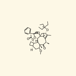 CC[Si](CC)(CC)O[C@H]1C[C@@]2(O)[C@@H](OC(=O)c3ccccc3)[C@@H]3[C@]4(OC(C)=O)CC[C@@H]4C[C@H](OC)[C@@]3(C)C(=O)[C@H](C)C(=C1C)C2(C)C